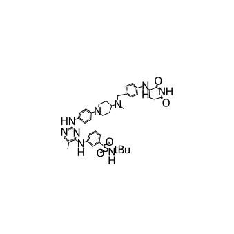 Cc1cnc(Nc2ccc(N3CCC(N(C)Cc4ccc(NC5CCC(=O)NC5=O)cc4)CC3)cc2)nc1Nc1cccc(S(=O)(=O)NC(C)(C)C)c1